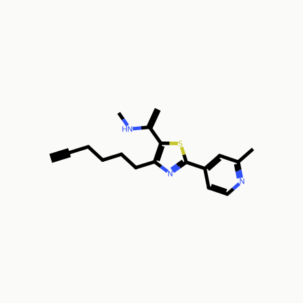 C#CCCCCc1nc(-c2ccnc(C)c2)sc1C(=C)NC